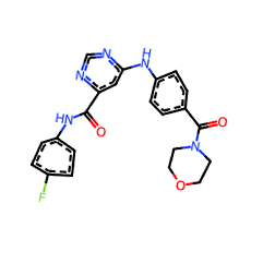 O=C(Nc1ccc(F)cc1)c1cc(Nc2ccc(C(=O)N3CCOCC3)cc2)ncn1